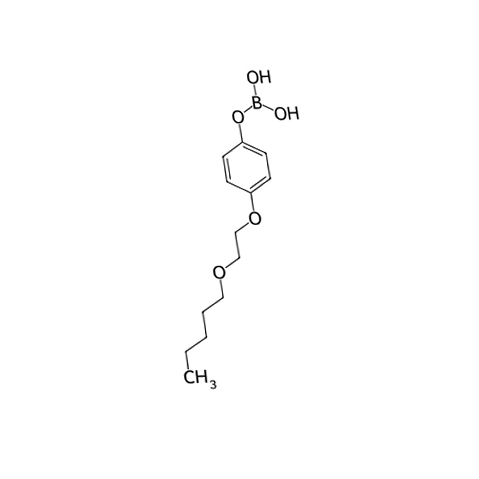 CCCCCOCCOc1ccc(OB(O)O)cc1